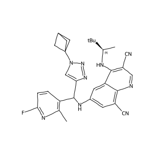 Cc1nc(F)ccc1C(Nc1cc(C#N)c2ncc(C#N)c(N[C@H](C)C(C)(C)C)c2c1)c1cn(C23CC(C2)C3)nn1